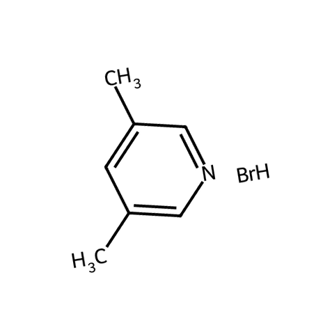 Br.Cc1cncc(C)c1